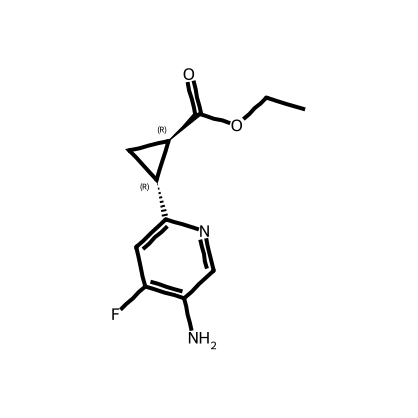 CCOC(=O)[C@@H]1C[C@H]1c1cc(F)c(N)cn1